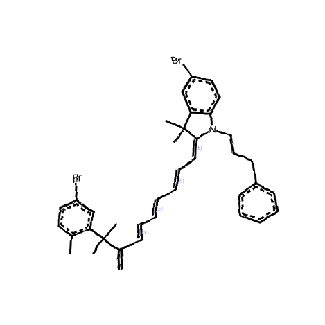 C=C(/C=C/C=C/C=C/C=C1/N(CCCc2ccccc2)c2ccc(Br)cc2C1(C)C)C(C)(C)c1cc(Br)ccc1C